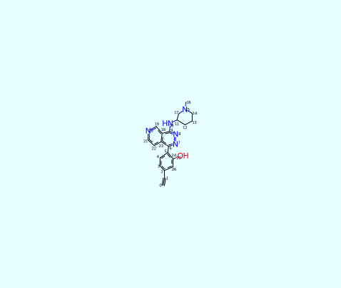 C#Cc1ccc(-c2nnc(NC3CCCN(C)C3)c3cnccc23)c(O)c1